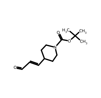 CC(C)(C)OC(=O)N1CCC(C=CC=O)CC1